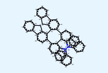 c1ccc(-n2c3ccccc3c3ccc4c(c32)-c2c(ccc3c5ccccc5n(-c5ccccc5)c23)-c2ccc3c(c2-c2c-4ccc4c2Cc2ccccc2-4)Cc2ccccc2-3)cc1